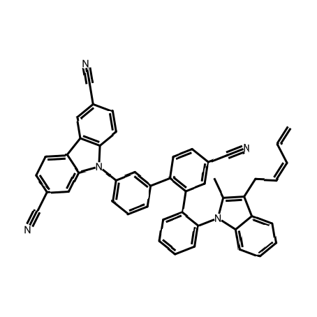 C=C/C=C\Cc1c(C)n(-c2ccccc2-c2cc(C#N)ccc2-c2cccc(-n3c4ccc(C#N)cc4c4ccc(C#N)cc43)c2)c2ccccc12